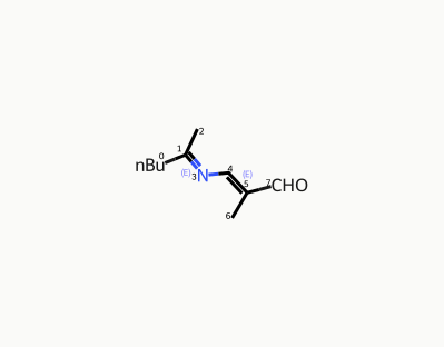 CCCC/C(C)=N/C=C(\C)C=O